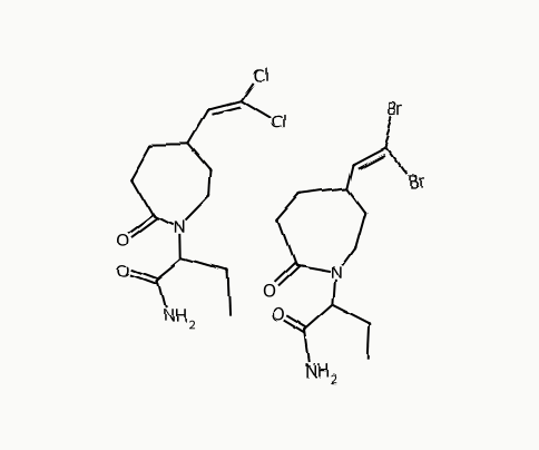 CCC(C(N)=O)N1CCC(C=C(Br)Br)CCC1=O.CCC(C(N)=O)N1CCC(C=C(Cl)Cl)CCC1=O